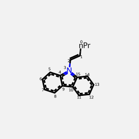 CCCC=Cn1c2ccccc2c2ccccc21